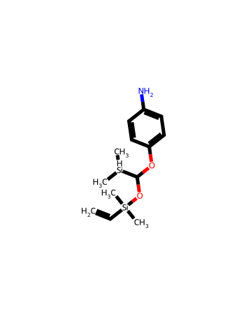 C=C[Si](C)(C)OC(Oc1ccc(N)cc1)[SiH](C)C